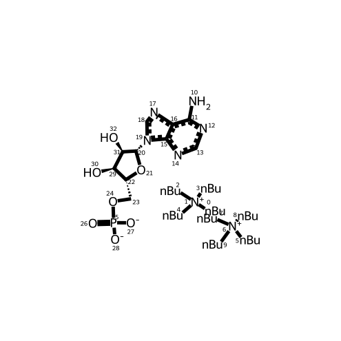 CCCC[N+](CCCC)(CCCC)CCCC.CCCC[N+](CCCC)(CCCC)CCCC.Nc1ncnc2c1ncn2[C@@H]1O[C@H](COP(=O)([O-])[O-])[C@@H](O)[C@H]1O